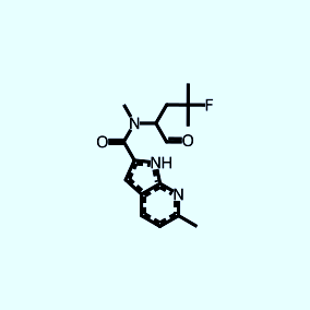 Cc1ccc2cc(C(=O)N(C)C(C=O)CC(C)(C)F)[nH]c2n1